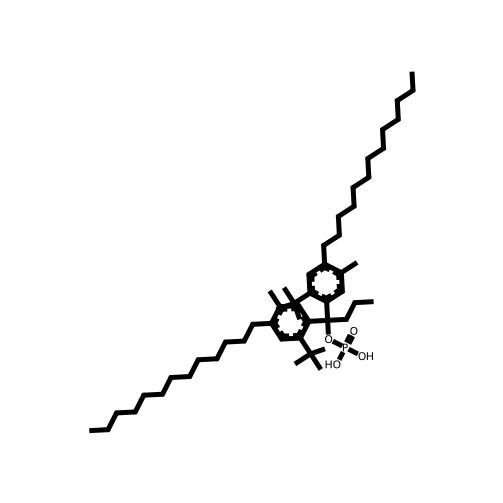 CCCCCCCCCCCCCc1cc(C(C)(C)C)c(C(CCC)(OP(=O)(O)O)c2cc(C)c(CCCCCCCCCCCCC)cc2C(C)(C)C)cc1C